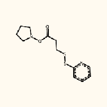 O=C(CCSSc1ccccn1)ON1CCCC1